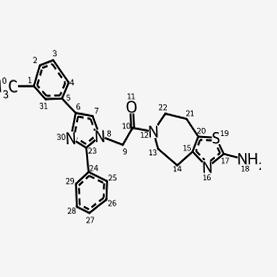 Cc1cccc(-c2cn(CC(=O)N3CCc4nc(N)sc4CC3)c(-c3ccccc3)n2)c1